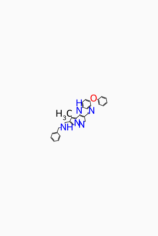 Cc1c(CNCc2ccccc2)cn2ncc(C#N)c(Nc3ccc(Oc4ccccc4)cc3)c12